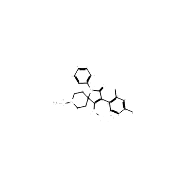 CCOC(=O)OC1=C(c2ccc(C)cc2C)C(=O)N(c2ccccc2)C12CCN(OC)CC2